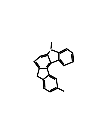 Cc1ccc2c(c1)-c1c(ccc3c1c1ccccc1n3C)C2